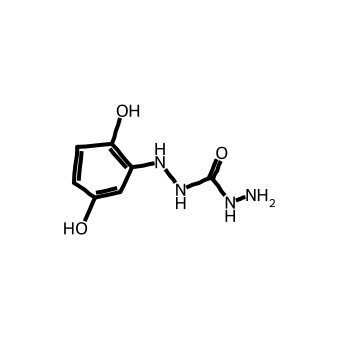 NNC(=O)NNc1cc(O)ccc1O